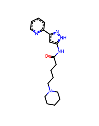 O=C(CCCCN1CCCCC1)Nc1cc(-c2ccccn2)n[nH]1